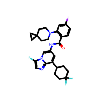 O=C(Nc1cc(C2CCC(F)(F)CC2)c2ncc(F)n2c1)c1ccc(I)cc1N1CCC2(CC1)CC2